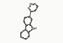 c1ccc2c(c1)[nH]c1cc(-c3ccnnn3)ccc12